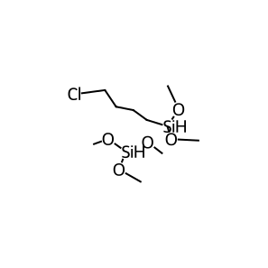 CO[SiH](CCCCCl)OC.CO[SiH](OC)OC